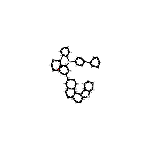 c1ccc(-c2ccc(N(c3cccc(-c4ccc5c(ccc6ccc7oc8ccccc8c7c65)c4)c3)c3ccccc3-c3ccccc3)cc2)cc1